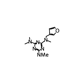 CNc1nc(N(C)C)nc(N(C)Cc2ccoc2)n1